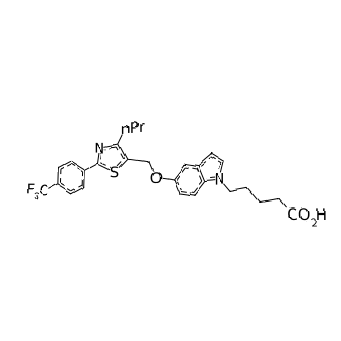 CCCc1nc(-c2ccc(C(F)(F)F)cc2)sc1COc1ccc2c(ccn2CCCCC(=O)O)c1